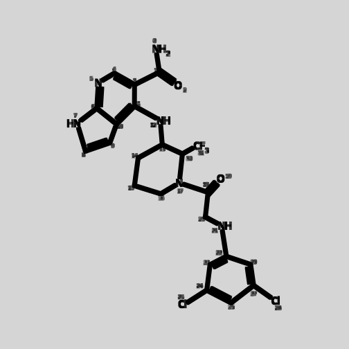 NC(=O)c1cnc2[nH]ccc2c1NC1CCCN(C(=O)CNc2cc(Cl)cc(Cl)c2)C1C(F)(F)F